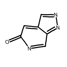 O=C1C=C2C=NN=C2C=N1